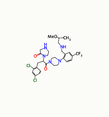 COC(C)CNCc1cc(C(F)(F)F)ccc1N1CCN(C(=O)C(Cc2ccc(Cl)cc2Cl)N2CCNCC2=O)CC1